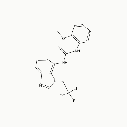 COc1ccncc1NC(=S)Nc1cccc2ncn(CC(F)(F)F)c12